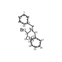 CC(Br)N(Cc1ccccc1)Cc1ccccc1